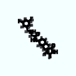 C=C1NC(=O)[C@@]2(Cc3ccc(NC(=O)CNCc4cc(F)cc(F)c4)cc3C2)N1C